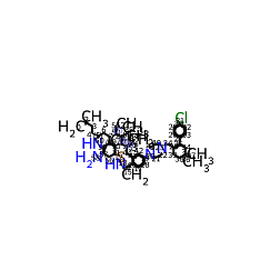 C=C(C)CC[C@H]1CC[C@@]2(C)CC(SNC(=C)c3ccc(N4CCN(CC5=C(c6ccc(Cl)cc6)CC(C)(C)CC5)CC4)cc3CC(=C/C)/C=C(/C=C\C)C(=C)C)CC(N)=C2N1